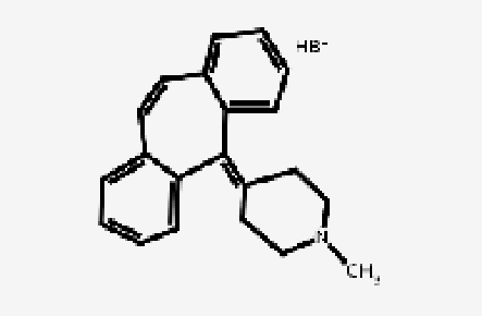 Br.CN1CCC(=C2c3ccccc3C=Cc3ccccc32)CC1